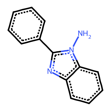 Nn1c(-c2ccccc2)nc2ccccc21